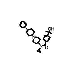 CC(C)(O)c1ccc(C(=O)N(C2CC2)C2CCN(C3CCC([C@@H]4C=CC=CC4)CC3)CC2)cc1